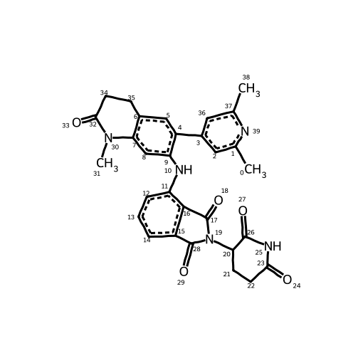 Cc1cc(-c2cc3c(cc2Nc2cccc4c2C(=O)N(C2CCC(=O)NC2=O)C4=O)N(C)C(=O)CC3)cc(C)n1